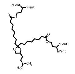 CCCCCC(CCCCC)CCOC(=O)CCCCCCCC1(CCCCCCCC(=O)OCCC(CCCCC)CCCCC)OCC(CCN(C)C)O1